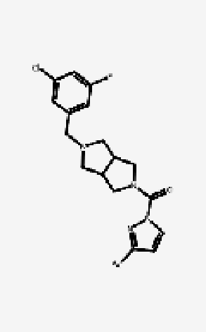 CC(=O)c1ccn(C(=O)N2CC3CN(Cc4cc(F)cc(Cl)c4)CC3C2)n1